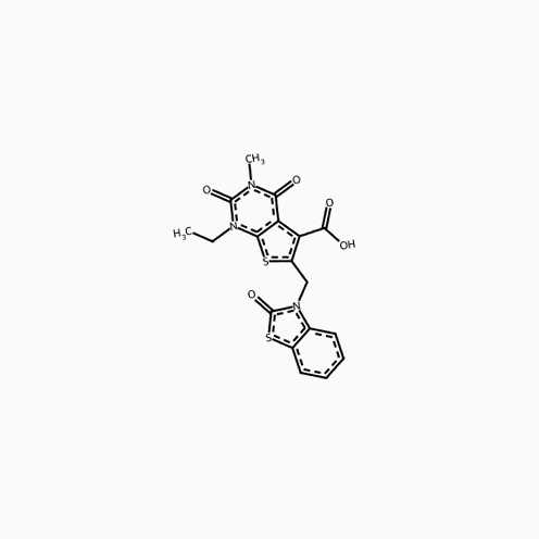 CCn1c(=O)n(C)c(=O)c2c(C(=O)O)c(Cn3c(=O)sc4ccccc43)sc21